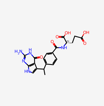 CC(c1ccc(C(=O)N[C@@H](CCC(=O)O)C(=O)O)cc1)c1c[nH]c2nc(N)[nH]c(=O)c12